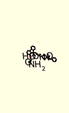 NC(=O)CCCc1cccc2c1C(CCCCN1CCN(C(=O)Cc3ccccc3)CC1)(C(=O)O)c1ccccc1-2